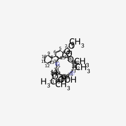 COCOc1ccc(-c2ccccc2)c2c1C(=O)O[C@@H](C)[C@H](C)/C=C\C(O)[C@H]1OC(C)(C)O[C@H]1C/C=C/2